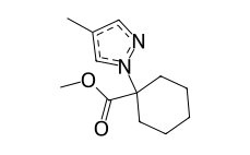 COC(=O)C1(n2cc(C)cn2)CCCCC1